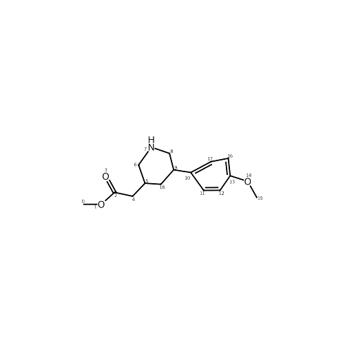 COC(=O)CC1CNCC(c2ccc(OC)cc2)C1